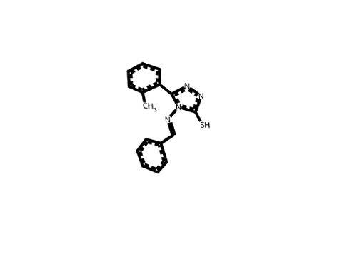 Cc1ccccc1-c1nnc(S)n1/N=C/c1ccccc1